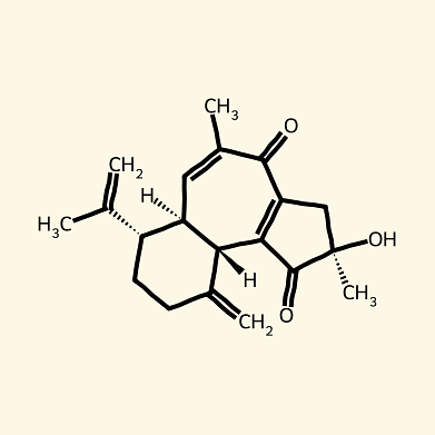 C=C1CC[C@H](C(=C)C)[C@H]2C=C(C)C(=O)C3=C(C(=O)[C@](C)(O)C3)[C@H]12